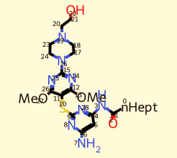 CCCCCCCC(=O)Nc1cc(N)nc(Sc2c(OC)nc(N3CCN(CCO)CC3)nc2OC)n1